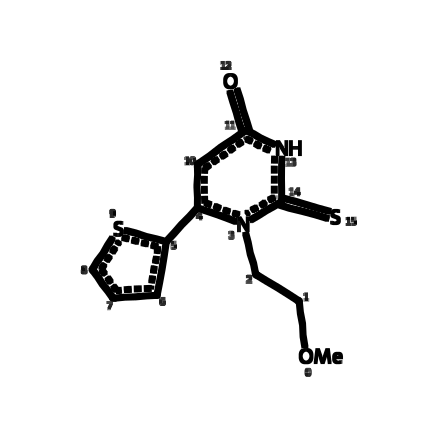 COCCn1c(-c2cccs2)cc(=O)[nH]c1=S